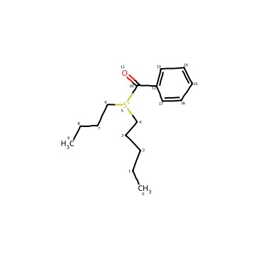 CCCCC[S+](CCCC)C(=O)c1ccccc1